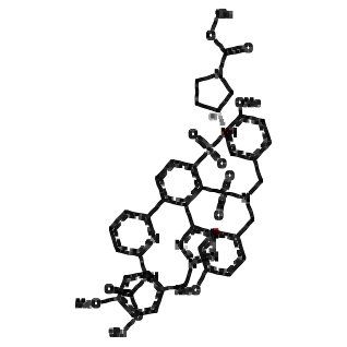 COc1ccc(CN(Cc2ccc(OC)cc2)S(=O)(=O)c2c(S(=O)(=O)N[C@@H]3CCN(C(=O)OC(C)(C)C)C3)ccc(-c3cccc(NC(=O)OC(C)(C)C)n3)c2-c2nnn(Cc3ccc(OC)cc3)n2)cc1